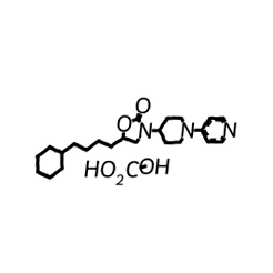 O=C(O)O.O=C1OC(CCCCC2CCCCC2)CN1C1CCN(c2ccncc2)CC1